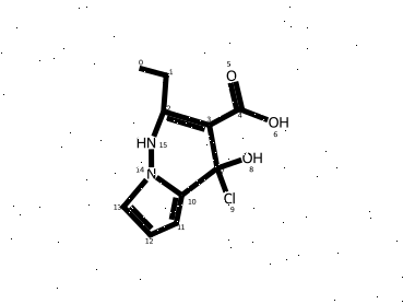 CCC1=C(C(=O)O)C(O)(Cl)c2cccn2N1